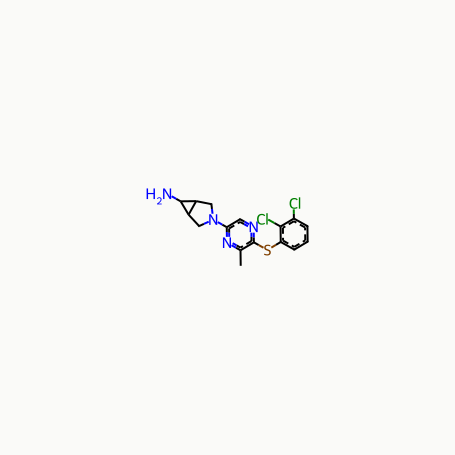 Cc1nc(N2CC3C(N)C3C2)cnc1Sc1cccc(Cl)c1Cl